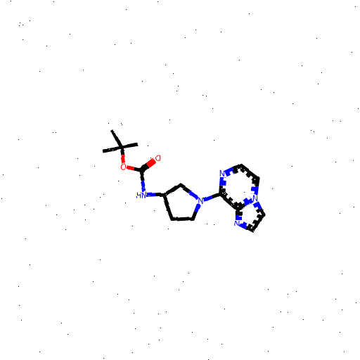 CC(C)(C)OC(=O)NC1CCN(c2nccn3ccnc23)C1